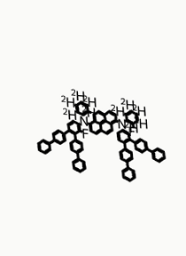 [2H]c1c([2H])c([2H])c(N(c2ccc(-c3ccc(-c4ccccc4)cc3)c(-c3ccc(-c4ccccc4)cc3)c2F)c2ccc3ccc4c(N(c5ccc(-c6ccc(-c7ccccc7)cc6)c(-c6ccc(-c7ccccc7)cc6)c5F)c5c([2H])c([2H])c([2H])c([2H])c5[2H])ccc5ccc2c3c54)c([2H])c1[2H]